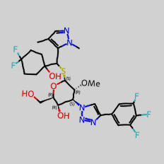 CO[C@@H]1[C@@H](n2cc(-c3cc(F)c(F)c(F)c3)nn2)[C@@H](O)[C@@H](CO)O[C@H]1SC(c1c(C)cnn1C)C1(O)CCC(F)(F)CC1